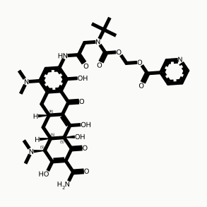 CN(C)c1cc(NC(=O)CN(C(=O)OCOC(=O)c2cccnc2)C(C)(C)C)c(O)c2c1C[C@H]1C[C@H]3[C@H](N(C)C)C(O)=C(C(N)=O)C(=O)[C@@]3(O)C(O)=C1C2=O